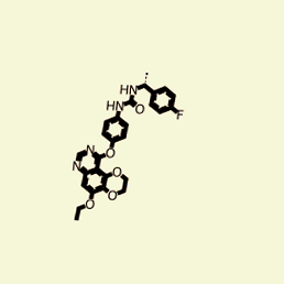 CCOc1cc2ncnc(Oc3ccc(NC(=O)N[C@H](C)c4ccc(F)cc4)cc3)c2c2c1OCCO2